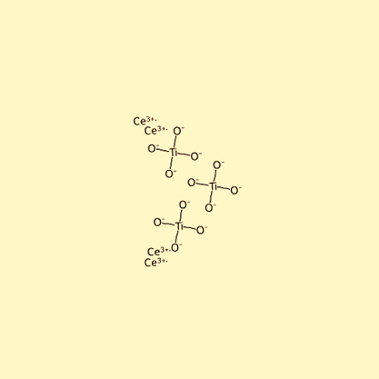 [Ce+3].[Ce+3].[Ce+3].[Ce+3].[O-][Ti]([O-])([O-])[O-].[O-][Ti]([O-])([O-])[O-].[O-][Ti]([O-])([O-])[O-]